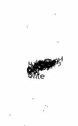 COc1ccccc1Nc1nc2c(s1)C1=CC[C@@H]3[C@H](CC[C@]4(C)/C(=N/O)CC[C@@H]34)[C@@]1(C)CC2